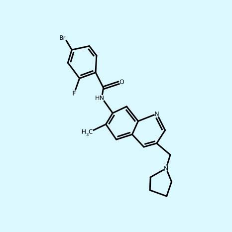 Cc1cc2cc(CN3CCCC3)cnc2cc1NC(=O)c1ccc(Br)cc1F